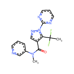 CN(C(=O)c1cnn(-c2ncccn2)c1C(C)(F)F)c1cccnc1